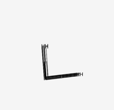 [H-].[H-].[H-].[H-].[H-].[H-].[H-].[H-].[H-].[H-].[H-].[H-].[H-].[H-].[H-].[H-].[H-].[H-].[H-].[H-].[H-].[H-].[H-].[H-].[H-].[H-].[H-].[H-].[H-].[H-].[H-].[H-].[H-].[H-].[H-].[H-].[H-].[HH].[HH].[HH].[K+].[K+].[K+].[K+].[K+].[K+].[K+].[K+].[K+].[K+].[K+].[K+].[K+].[K+].[K+].[K+].[K+].[K+].[K+].[K+].[K+].[K+].[K+].[K+].[K+].[K+].[K+].[K+].[K+].[K+].[K+].[K+].[K+].[K+].[K+].[K+].[K+]